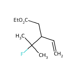 C=CC(CC(=O)OCC)C(C)(C)F